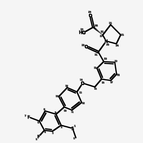 CSc1cc(F)c(F)cc1-c1ccc(OCc2cccc(C(=O)N3CCC[C@H]3C(=O)O)c2)cc1